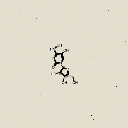 O=c1nc(NO)c(O)cn1[C@@H]1O[C@H](CO)[C@@H](O)[C@H]1O